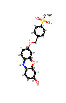 CNS(=O)(=O)c1ccc(COc2ccc3nc4ccc(=O)cc-4oc3c2)cc1